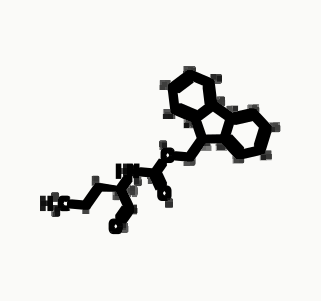 CCC[C@H](C=O)NC(=O)OCC1c2ccccc2-c2ccccc21